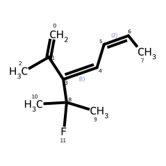 C=C(C)/C(=C\C=C/C)C(C)(C)F